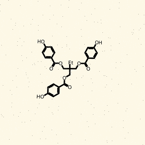 CCC(COC(=O)c1ccc(O)cc1)(COC(=O)c1ccc(O)cc1)COC(=O)c1ccc(O)cc1